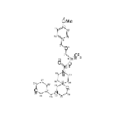 COc1ccc(COC[C@@H](OC(=O)N2CCC3(CC2)CN(CC2CCCOC2)CCO3)C(F)(F)F)cc1